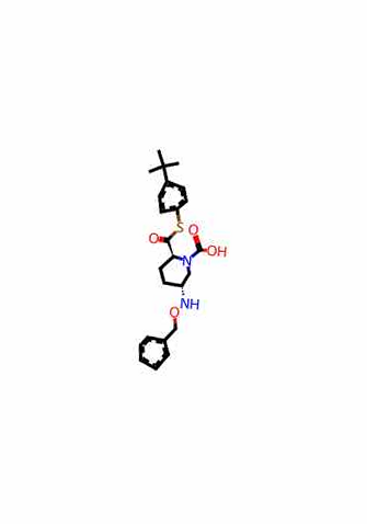 CC(C)(C)c1ccc(SC(=O)[C@@H]2CC[C@@H](NOCc3ccccc3)CN2C(=O)O)cc1